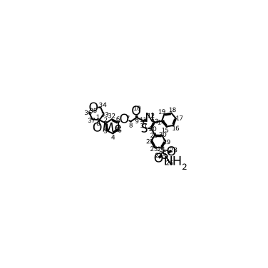 COC1(c2cccc(OCC(=O)c3nc(-c4ccccc4)c(-c4ccc(S(N)(=O)=O)cc4)s3)c2)CCOCC1